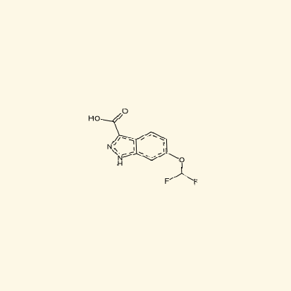 O=C(O)c1n[nH]c2cc(OC(F)F)ccc12